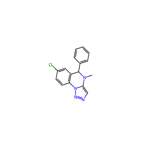 CN1c2cnnn2-c2ccc(Cl)cc2C1c1ccccc1